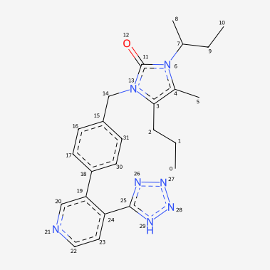 CCCc1c(C)n(C(C)CC)c(=O)n1Cc1ccc(-c2cnccc2-c2nnn[nH]2)cc1